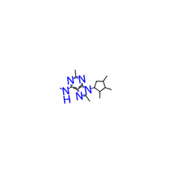 CNc1nc(C)nc2c1nc(C)n2C1CC(C)C(C)C1C